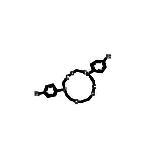 CCc1ccc(N2CCOCCOCCN(c3ccc(CC)cc3)CCOCC2)cc1